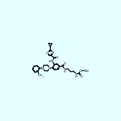 Cc1ccccc1N1CCN(c2ccc(C(=O)NCCCNC(=O)OC(C)(C)C)cc2NC(=O)c2coc(C3CC3)n2)CC1